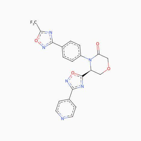 O=C1COC[C@@H](c2nc(-c3ccncc3)no2)N1c1ccc(-c2noc(C(F)(F)F)n2)cc1